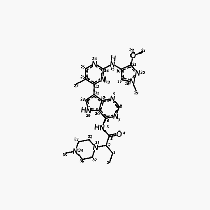 CCC(C(=O)Nc1ncnc2c(-c3nc(Nc4cn(C)nc4OC)ncc3C)c[nH]c12)N1CCN(C)CC1